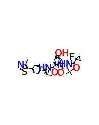 CC[C@H](NC(=O)[C@@H]1C[C@@H](O)CN1C(=O)C(NC(=O)C1(F)CC1)C(C)(C)C)c1ccc(-c2scnc2C)cc1